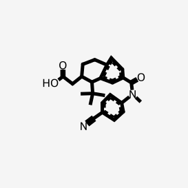 CN(C(=O)c1ccc2c(c1)C(C(C)(C)C)C(CC(=O)O)CC2)c1ccc(C#N)cc1